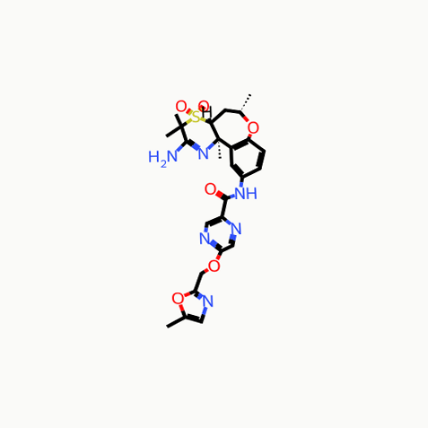 Cc1cnc(COc2cnc(C(=O)Nc3ccc4c(c3)[C@@]3(C)N=C(N)C(C)(C)S(=O)(=O)[C@@H]3C[C@H](C)O4)cn2)o1